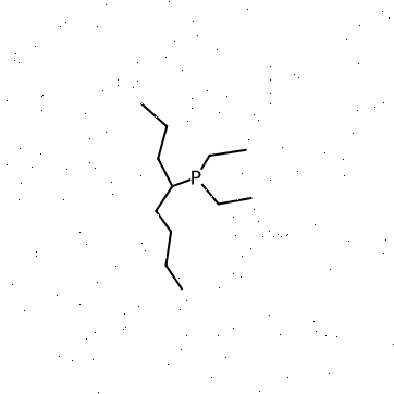 CCCCC(CCC)P(CC)CC